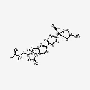 CC(=O)NCC1OC(=O)N2c3ccc(-c4ccc(C5(C#N)C6CN(C#N)CC65)nc4)cc3C[C@@H]12